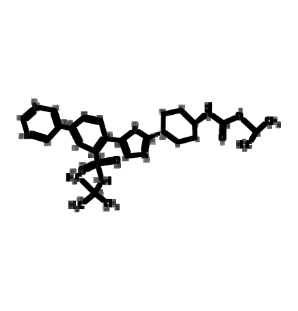 CC(C)OC(=O)N[C@H]1CC[C@H](c2ncc(-c3ccc(-c4cncnc4)cc3S(=O)(=O)NC(C)(C)C)s2)CC1